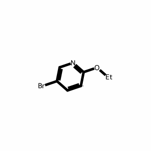 CCOc1[c]cc(Br)cn1